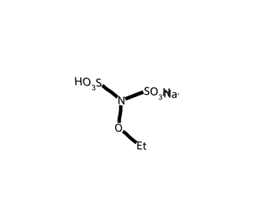 CCON(S(=O)(=O)O)S(=O)(=O)O.[Na]